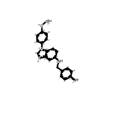 CC(C)c1ccc(CNc2ccc3c(c2)ncn3-c2ccc(OC(C)(C)C)cc2)cc1